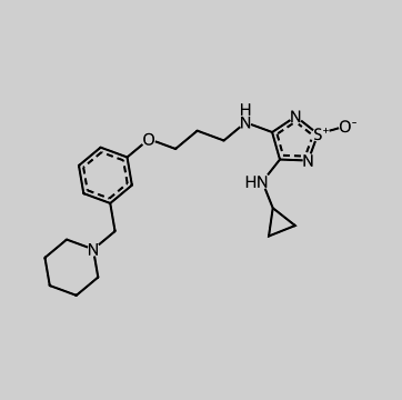 [O-][s+]1nc(NCCCOc2cccc(CN3CCCCC3)c2)c(NC2CC2)n1